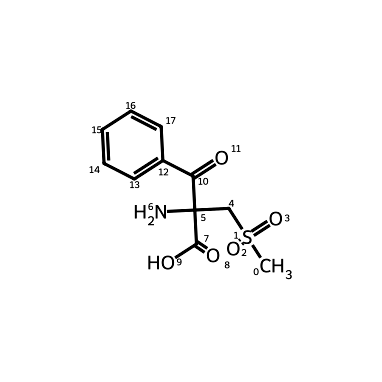 CS(=O)(=O)CC(N)(C(=O)O)C(=O)c1ccccc1